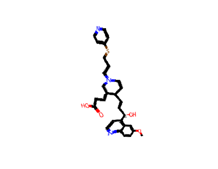 COc1ccc2nccc([C@@H](O)CCC3CCN(CCCSc4ccncc4)CC3CCC(=O)O)c2c1